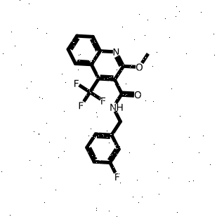 COc1nc2ccccc2c(C(F)(F)F)c1C(=O)NCc1cccc(F)c1